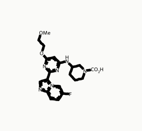 COCCOc1cc(NC2CCCN(C(=O)O)C2)nc(-c2cnc3ccc(F)cn23)n1